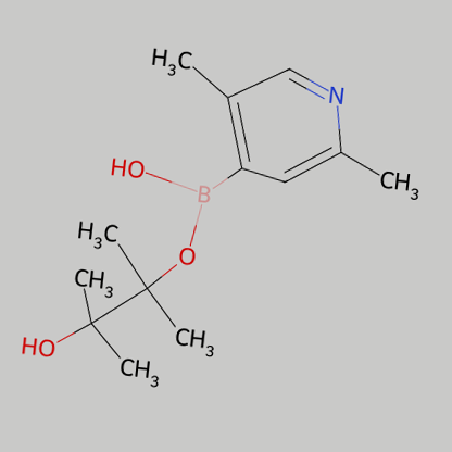 Cc1cc(B(O)OC(C)(C)C(C)(C)O)c(C)cn1